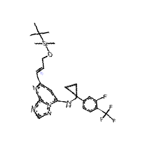 CC(C)(C)[Si](C)(C)OC/C=C/c1cc(NC2(c3ccc(C(F)(F)F)c(F)c3)CC2)n2ncnc2n1